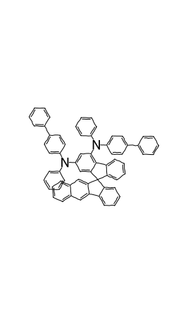 c1ccc(-c2ccc(N(c3ccccc3)c3cc(N(c4ccccc4)c4ccc(-c5ccccc5)cc4)c4c(c3)C3(c5ccccc5-c5cc6ccccc6cc53)c3ccccc3-4)cc2)cc1